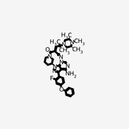 C[C@@H]1CN(C(C)(C)C=C(C#N)C(=O)N2CCC[C@H](n3nc(-c4ccc(Oc5ccccc5)cc4F)c4c(N)ncnc43)C2)C[C@H](C)N1C